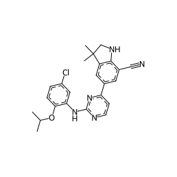 CC(C)Oc1ccc(Cl)cc1Nc1nccc(-c2cc(C#N)c3c(c2)C(C)(C)CN3)n1